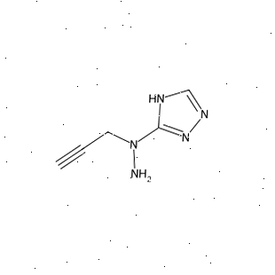 C#CCN(N)c1nnc[nH]1